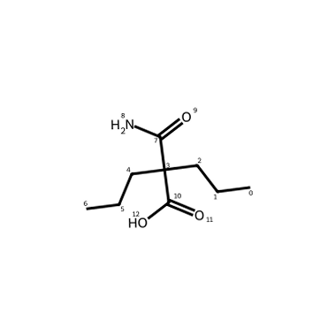 CCCC(CCC)(C(N)=O)C(=O)O